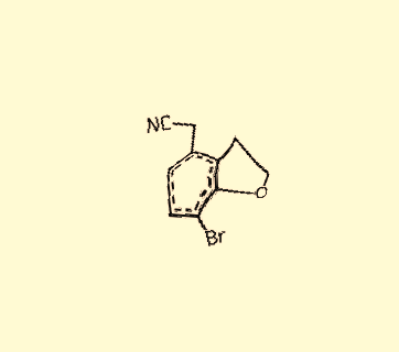 N#CCc1ccc(Br)c2c1CCO2